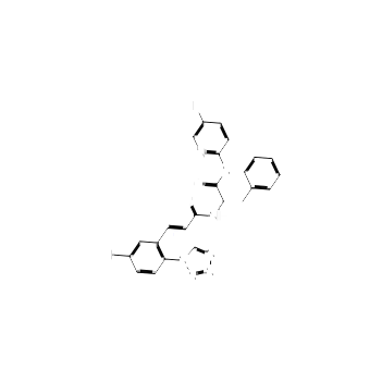 O=C(/C=C/c1cc(Cl)ccc1-n1cnnn1)N[C@@H](Cc1ccccc1)C(=O)Nc1ccc(F)cn1